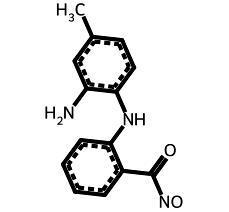 Cc1ccc(Nc2ccccc2C(=O)N=O)c(N)c1